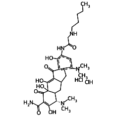 CCCCCNCC(=O)Nc1cc(N(C)C)c2c(c1O)C(=O)C1=C(O)C3(O)C(=O)C(C(N)=O)=C(O)[C@@H](N(C)C)C3CC1C2.Cl.Cl